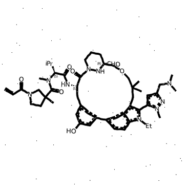 C=CC(=O)N1CCC(C)(C(=O)N(C)[C@H](C(=O)N[C@H]2Cc3cc(O)cc(c3)-c3ccc4c(c3)c(c(-c3cc(CN(C)C)nn3C)n4CC)CC(C)(C)COC[C@@]3(C=O)CCCN(N3)C2=O)C(C)C)C1